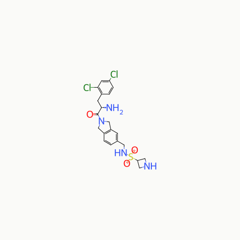 N[C@H](Cc1ccc(Cl)cc1Cl)C(=O)N1Cc2ccc(CNS(=O)(=O)C3CNC3)cc2C1